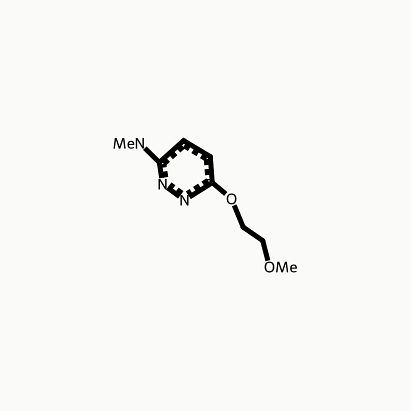 CNc1ccc(OCCOC)nn1